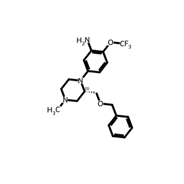 CN1CCN(c2ccc(OC(F)(F)F)c(N)c2)[C@H](COCc2ccccc2)C1